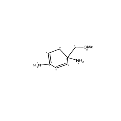 COCC1(N)C=CC(N)=CC1